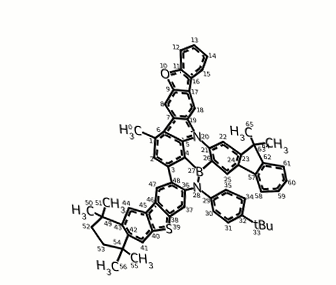 Cc1cc2c3c4c1c1cc5oc6ccccc6c5cc1n4-c1cc4c(cc1B3N(c1ccc(C(C)(C)C)cc1)c1cc3sc5cc6c(cc5c3cc1-2)C(C)(C)CCC6(C)C)-c1ccccc1C4(C)C